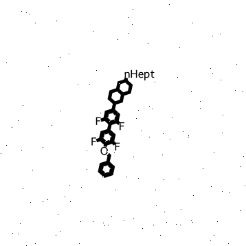 CCCCCCCC1CCC2CC(c3cc(F)c(-c4cc(F)c(OCc5ccccc5)c(F)c4)c(F)c3)CCC2C1